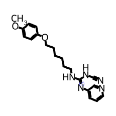 COc1ccc(OCCCCCCN/C(=N/c2cccnc2)NC#N)cc1